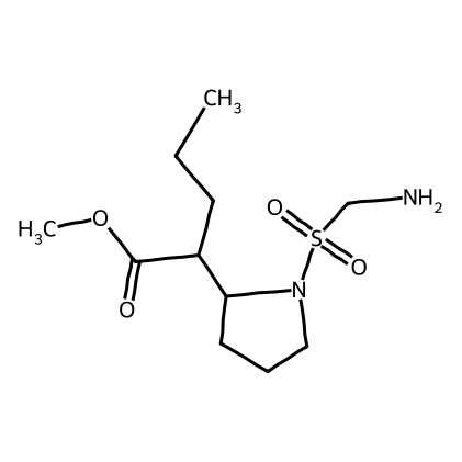 CCCC(C(=O)OC)C1CCCN1S(=O)(=O)CN